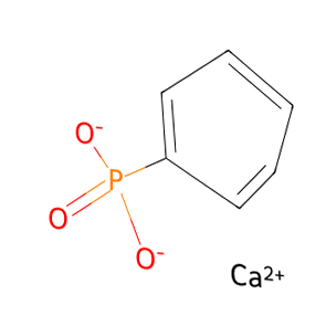 O=P([O-])([O-])c1ccccc1.[Ca+2]